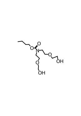 CCCCOC(=O)N(CCOCCO)CCOCCO